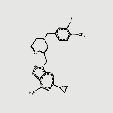 Nc1nc(C2CC2)nc2c1nnn2CC1CN(Cc2ccc(C(F)(F)F)c(F)c2)CCO1